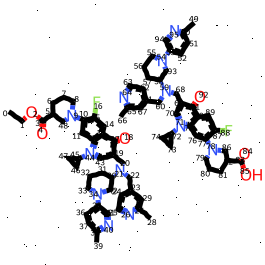 CCOC(=O)C1CCCN(c2cc3c(cc2F)c(=O)c(CN(Cc2ccnc(C)c2)[C@H]2CCCN(c4ccc(C)nc4)C2)cn3C2CC2)C1.Cc1ccc(N2CCC[C@H](N(Cc3ccnc(C)c3)Cc3cn(C4CC4)c4cc(N5CCCC(C(=O)O)C5)c(F)cc4c3=O)C2)cn1